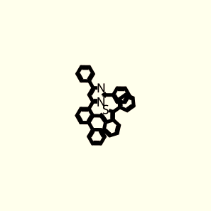 c1ccc(-c2cc(-c3cccc(-c4ccccc4)c3-c3sc(-c4ccccc4)c4ccccc34)nc(-c3ccccc3)n2)cc1